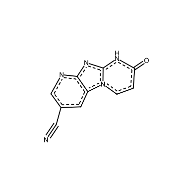 N#Cc1cnc2nc3[nH]c(=O)ccn3c2c1